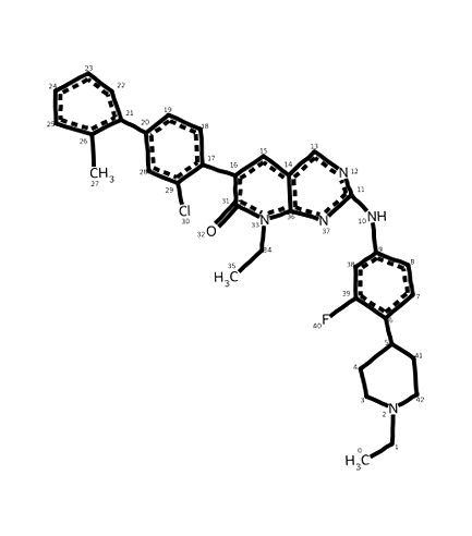 CCN1CCC(c2ccc(Nc3ncc4cc(-c5ccc(-c6ccccc6C)cc5Cl)c(=O)n(CC)c4n3)cc2F)CC1